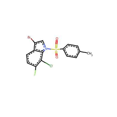 Cc1ccc(S(=O)(=O)n2cc(Br)c3ccc(F)c(Cl)c32)cc1